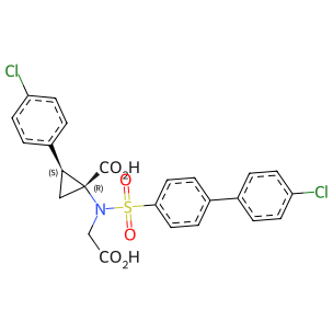 O=C(O)CN([C@]1(C(=O)O)C[C@H]1c1ccc(Cl)cc1)S(=O)(=O)c1ccc(-c2ccc(Cl)cc2)cc1